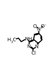 CCCNc1nc(Cl)nc2ccc([N+](=O)[O-])cc12